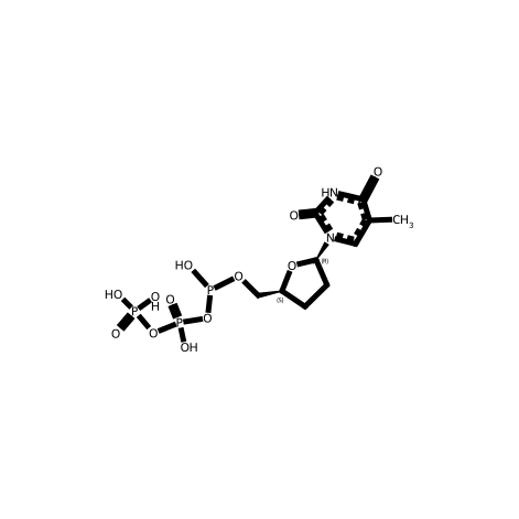 Cc1cn([C@H]2CC[C@@H](COP(O)OP(=O)(O)OP(=O)(O)O)O2)c(=O)[nH]c1=O